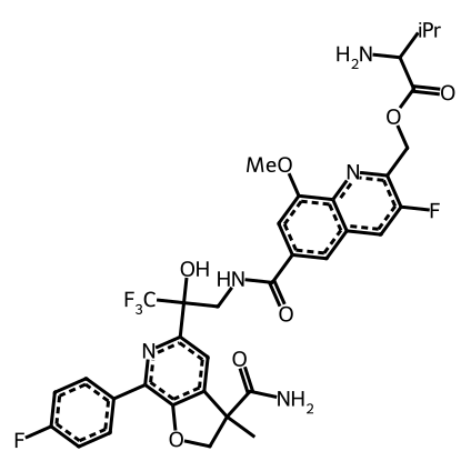 COc1cc(C(=O)NCC(O)(c2cc3c(c(-c4ccc(F)cc4)n2)OCC3(C)C(N)=O)C(F)(F)F)cc2cc(F)c(COC(=O)C(N)C(C)C)nc12